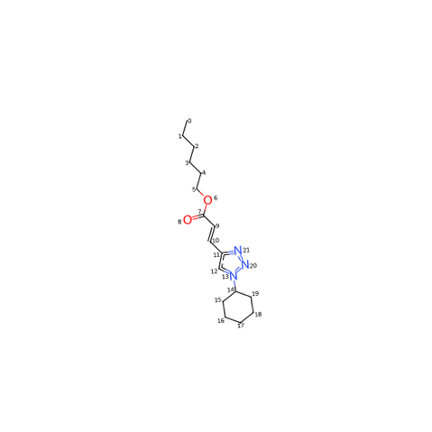 CCCCCCOC(=O)C=Cc1cn(C2CCCCC2)nn1